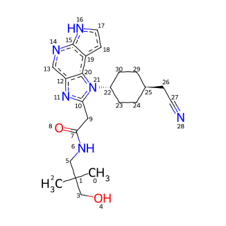 CC(C)(CO)CNC(=O)Cc1nc2cnc3[nH]ccc3c2n1[C@H]1CC[C@H](CC#N)CC1